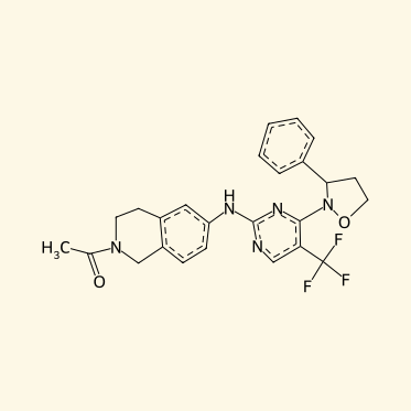 CC(=O)N1CCc2cc(Nc3ncc(C(F)(F)F)c(N4OCCC4c4ccccc4)n3)ccc2C1